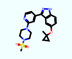 CC1(Oc2ccc3[nH]nc(-c4ccnc(N5CCN(S(C)(=O)=O)CC5)c4)c3c2)CC1